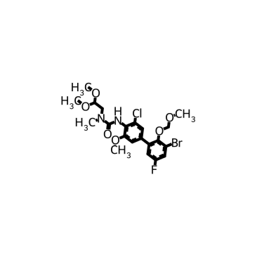 COCOc1c(Br)cc(F)cc1-c1cc(Cl)c(NC(=O)N(C)CC(OC)OC)c(OC)c1